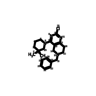 CC1(C)CCCN(c2nc(Cl)nc3c2CN(Cc2ccccc2)CC3)C1